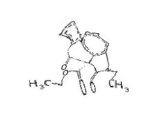 CCOC(=O)[C@@]1(C(=O)c2cccs2)C(=O)N(CC)c2ccccc21